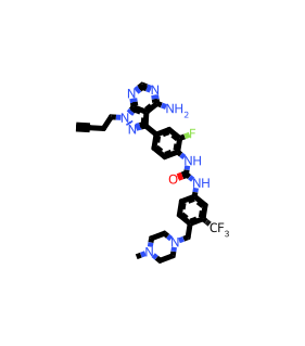 C#CCCn1nc(-c2ccc(NC(=O)Nc3ccc(CN4CCN(C)CC4)c(C(F)(F)F)c3)c(F)c2)c2c(N)ncnc21